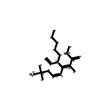 C=CN(CCCCC)C(/N=C\CC(C)(C)N)=C(/C)C(=C)NC